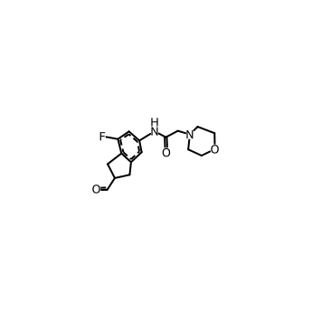 O=CC1Cc2cc(NC(=O)CN3CCOCC3)cc(F)c2C1